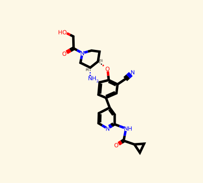 N#Cc1cc(-c2ccnc(NC(=O)C3CC3)c2)ccc1O[C@H]1CCN(C(=O)CO)C[C@H]1N